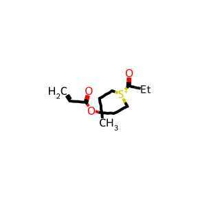 C=CC(=O)OC1(C)CC[S+](C(=O)CC)CC1